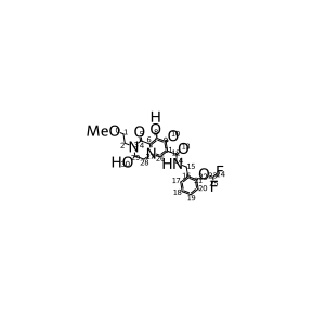 COCCN1C(=O)c2c(O)c(=O)c(C(=O)NCc3ccccc3OC(F)F)cn2CC1O